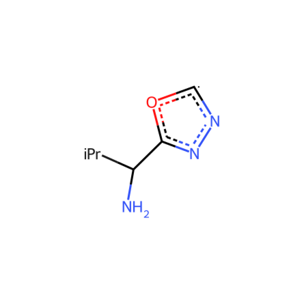 CC(C)C(N)c1nn[c]o1